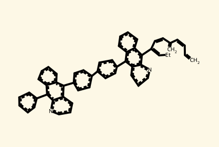 C=C/C=C\C(=C)/C=C\C(=C/CC)c1c2ccccc2c(-c2ccc(-c3ccc(-c4c5ccccc5c(-c5ccccc5)c5ncccc45)cc3)cc2)c2cccnc12